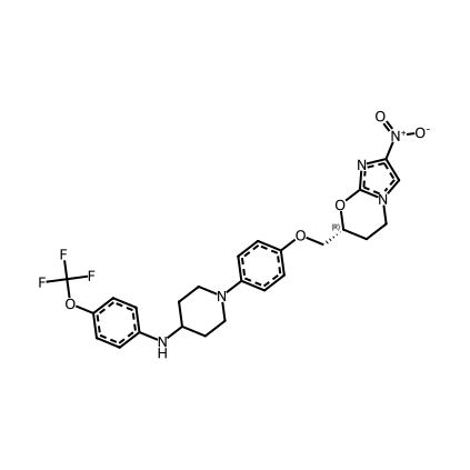 O=[N+]([O-])c1cn2c(n1)O[C@@H](COc1ccc(N3CCC(Nc4ccc(OC(F)(F)F)cc4)CC3)cc1)CC2